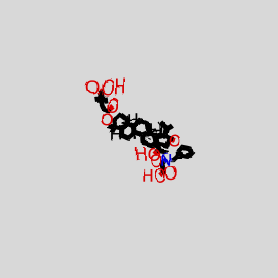 CC(C)C1=C2[C@H]3CC[C@@H]4[C@@]5(C)CC[C@H](OC(=O)CC(C)(C)C(=O)O)C(C)(C)[C@@H]5CC[C@@]4(C)[C@]3(C)CCC2(C(O)CN(Cc2ccccc2)C(=O)C(=O)O)CC1=O